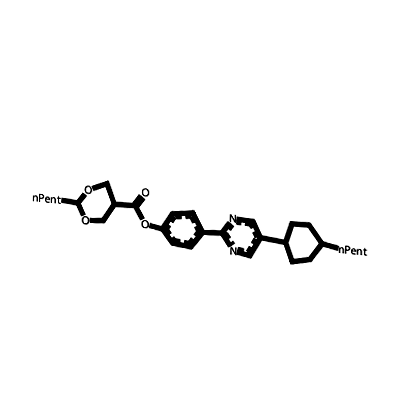 CCCCCC1CCC(c2cnc(-c3ccc(OC(=O)C4COC(CCCCC)OC4)cc3)nc2)CC1